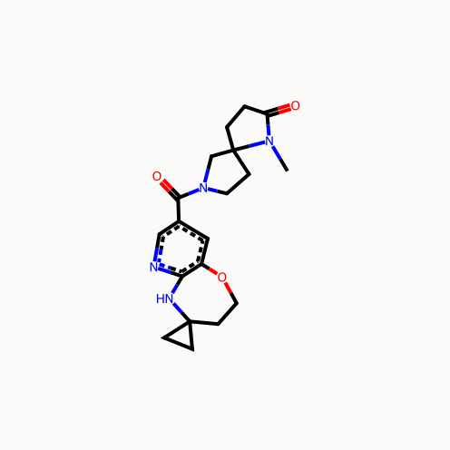 CN1C(=O)CCC12CCN(C(=O)c1cnc3c(c1)OCCC1(CC1)N3)C2